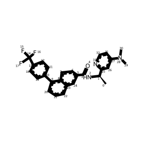 C[C@@H](NC(=O)c1ccc2c(-c3ccc(C(F)(F)F)cc3)cccc2c1)c1cc(N(C)C)ccn1